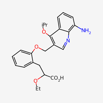 CCOC(Cc1ccccc1OCc1cnc2c(N)cccc2c1OC(C)C)C(=O)O